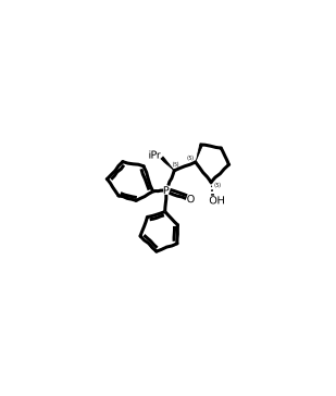 CC(C)[C@@H]([C@H]1CCC[C@@H]1O)P(=O)(c1ccccc1)c1ccccc1